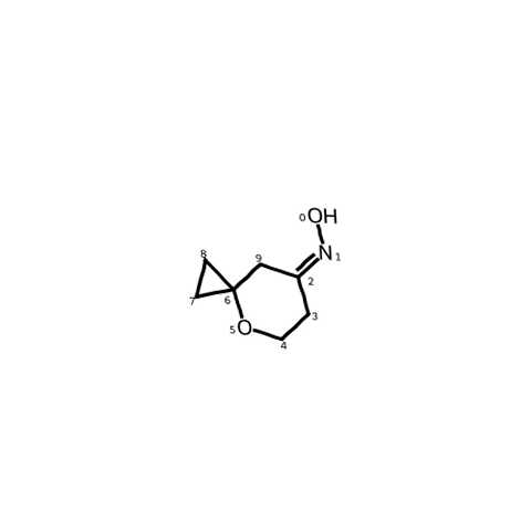 O/N=C1/CCOC2(CC2)C1